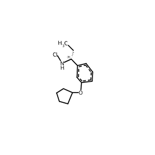 CC[C@@H](NCl)c1cccc(OC2CCCC2)c1